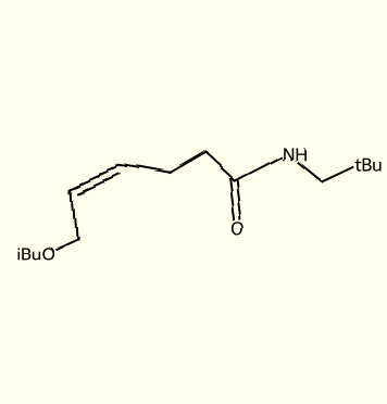 CC(C)COC/C=C\CCC(=O)NCC(C)(C)C